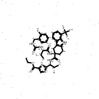 CCOC(=O)c1csc([C@@H](NC(=O)[C@@]2(NC(=O)[C@@H](NC(=O)NCc3ccccc3F)[C@@H](C)I)CCc3[nH]c4c(C(F)(F)F)cccc4c3C2)[C@@H](C)I)n1